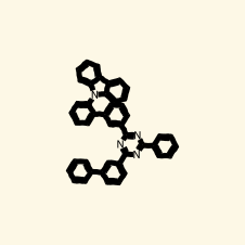 c1ccc(-c2cccc(-c3nc(-c4ccccc4)nc(-c4cccc(-c5ccccc5-n5c6ccccc6c6ccccc65)c4)n3)c2)cc1